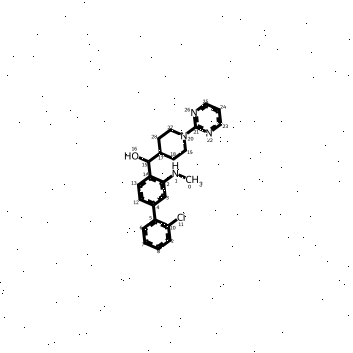 CNc1cc(-c2ccccc2Cl)ccc1C(O)C1CCN(c2ncccn2)CC1